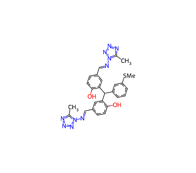 CSc1cccc(C(c2cc(C=Nn3nnnc3C)ccc2O)c2cc(C=Nn3nnnc3C)ccc2O)c1